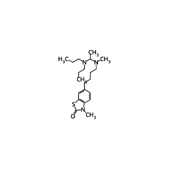 CCCN(CCC)C(C)N(C)CCCCc1ccc2c(c1)sc(=O)n2C